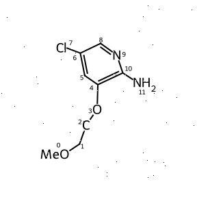 COCCOc1cc(Cl)cnc1N